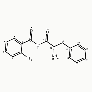 [2H]c1ccccc1C(=O)OC(=O)[C@@H](N)Cc1ccccc1